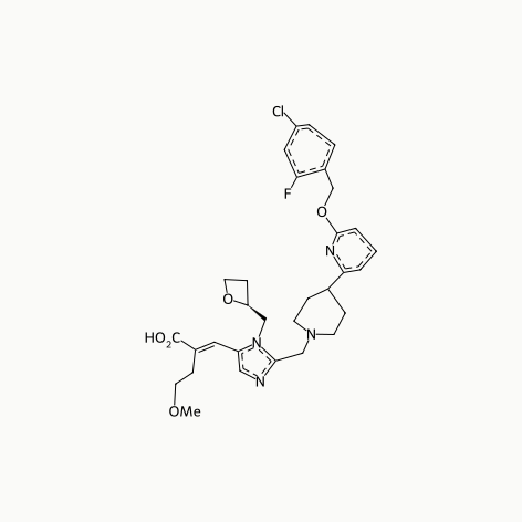 COCC/C(=C\c1cnc(CN2CCC(c3cccc(OCc4ccc(Cl)cc4F)n3)CC2)n1C[C@@H]1CCO1)C(=O)O